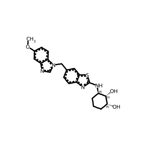 COc1ccc2c(c1)ncn2Cc1ccc2nc(N[C@@H]3CCC[C@@H](O)[C@H]3O)sc2c1